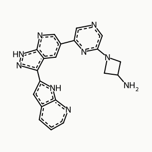 NC1CN(c2cncc(-c3cnc4[nH]nc(-c5cc6cccnc6[nH]5)c4c3)n2)C1